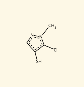 Cn1ncc(S)c1Cl